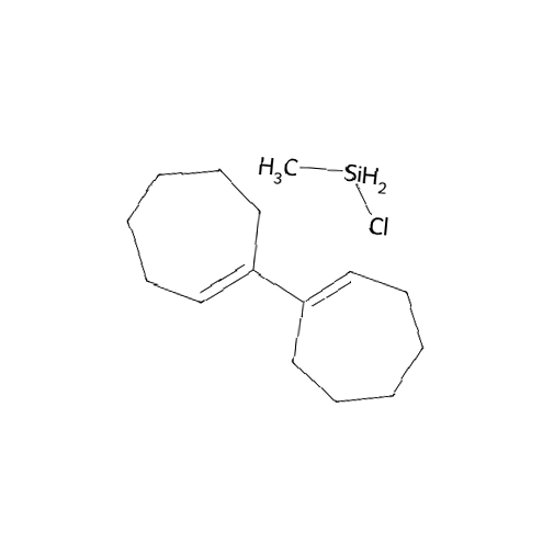 C1=C(C2=CCCCCC2)CCCCC1.C[SiH2]Cl